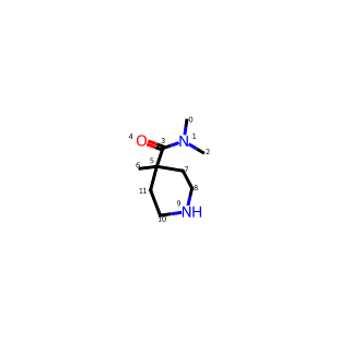 CN(C)C(=O)C1(C)CCNCC1